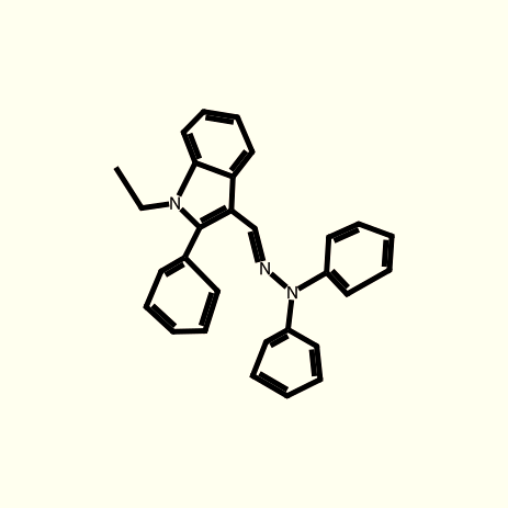 CCn1c(-c2ccccc2)c(C=NN(c2ccccc2)c2ccccc2)c2ccccc21